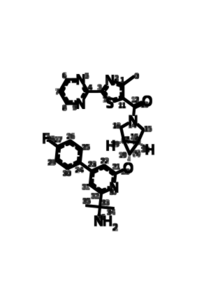 Cc1nc(-c2ncccn2)sc1C(=O)N1C[C@@H]2[C@H](C1)[C@H]2Oc1cc(-c2ccc(F)cc2)cc(C(C)(C)N)n1